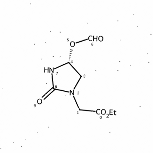 CCOC(=O)CN1C[C@@H](OC=O)NC1=O